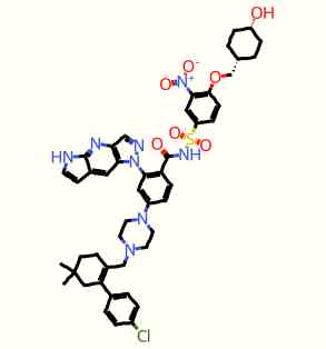 CC1(C)CCC(CN2CCN(c3ccc(C(=O)NS(=O)(=O)c4ccc(OC[C@H]5CC[C@@H](O)CC5)c([N+](=O)[O-])c4)c(-n4ncc5nc6[nH]ccc6cc54)c3)CC2)=C(c2ccc(Cl)cc2)C1